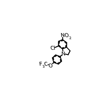 O=[N+]([O-])c1cc(Cl)c2c(c1)CCN2c1ccc(OC(F)(F)F)cc1